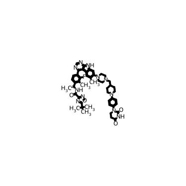 Cc1cc2c(cc1N1CCN(CC3CCN(c4ccc(N5CCC(=O)NC5=O)cc4)CC3)CC1)[nH]c1ncnc(-c3ccc([C@@H](C)NC(=O)c4noc(C(C)(C)C)n4)c(C)c3F)c12